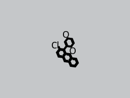 O=C1C=CC(=O)C(c2c(Cl)ccc3cc4ccccc4cc23)=C1